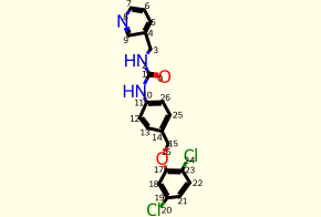 O=C(NCc1cccnc1)Nc1ccc(COc2cc(Cl)ccc2Cl)cc1